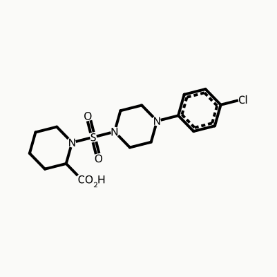 O=C(O)C1CCCCN1S(=O)(=O)N1CCN(c2ccc(Cl)cc2)CC1